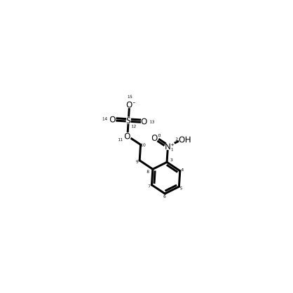 O=[N+](O)c1ccccc1CCOS(=O)(=O)[O-]